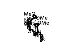 C=CC(=O)N1CCC(n2nc(C#Cc3cc(OC)cc(OC)c3)c3c(NCCC(=O)N4CCC(n5nc(C#Cc6cc(OC)cc(OC)c6)c6c(N)ncnc65)C4)ncnc32)C1